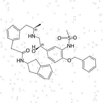 C[C@H](Cc1cccc(CC(=O)NC2Cc3ccccc3C2)c1)NC[C@H](O)c1ccc(OCc2ccccc2)c(NS(C)(=O)=O)c1